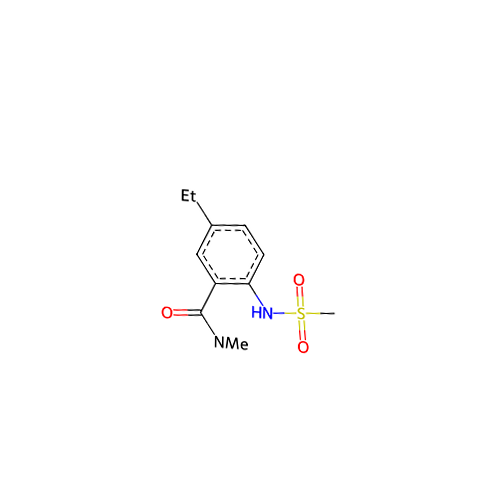 CCc1ccc(NS(C)(=O)=O)c(C(=O)NC)c1